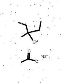 CC(=O)[O-].CCC(C)(O)CC.[Na+]